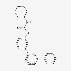 O=C(NC1CCCCC1)Oc1cccc(-c2cccc(-c3ccccc3)c2)c1